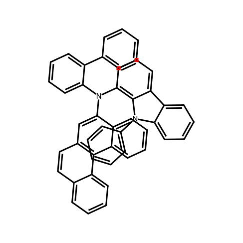 c1ccc(-c2ccccc2N(c2cc3ccc4ccccc4c3c3ccccc23)c2cccc3c4ccccc4n(-c4ccccc4)c23)cc1